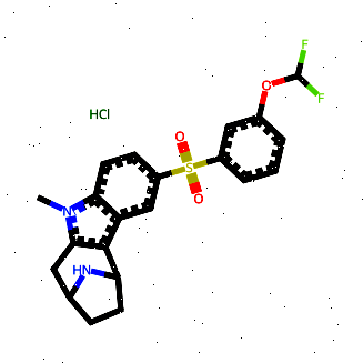 Cl.Cn1c2c(c3cc(S(=O)(=O)c4cccc(OC(F)F)c4)ccc31)C1CCC(C2)N1